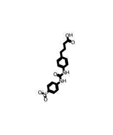 O=C(O)CCCc1ccc(NC(=O)Nc2ccc([N+](=O)[O-])cc2)cc1